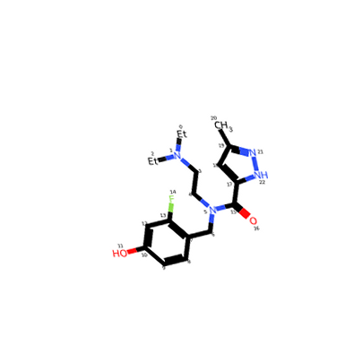 CCN(CC)CCN(Cc1ccc(O)cc1F)C(=O)c1cc(C)n[nH]1